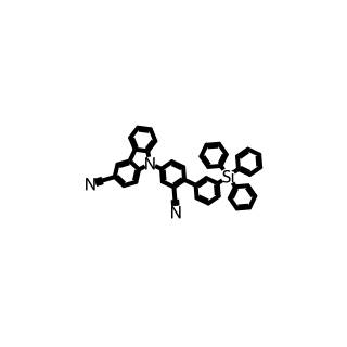 N#Cc1ccc2c(c1)c1ccccc1n2-c1ccc(-c2cccc([Si](c3ccccc3)(c3ccccc3)c3ccccc3)c2)c(C#N)c1